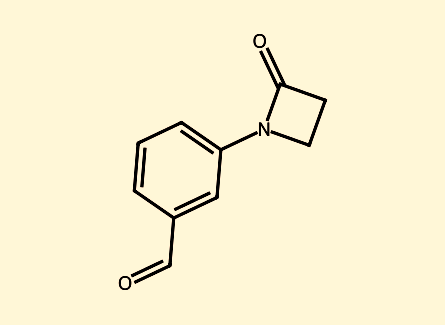 O=Cc1cccc(N2CCC2=O)c1